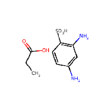 CCC(=O)O.Nc1ccc(S(=O)(=O)O)c(N)c1